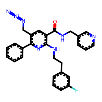 [N-]=[N+]=NCc1cc(C(=O)NCc2cccnc2)c(NCCc2cccc(F)c2)nc1-c1ccccc1